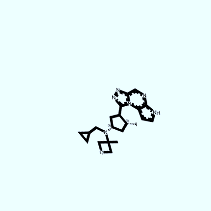 CC1(N(CC2CC2)[C@@H]2CC(c3nnc4cnc5[nH]ccc5n34)[C@H](I)C2)COC1